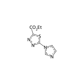 CCOC(=O)c1nnc(-n2ccnc2)s1